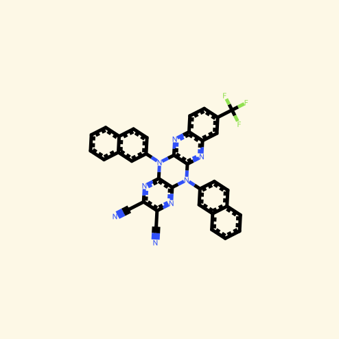 N#Cc1nc2c(nc1C#N)N(c1ccc3ccccc3c1)c1nc3cc(C(F)(F)F)ccc3nc1N2c1ccc2ccccc2c1